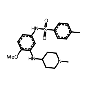 COc1ccc(NS(=O)(=O)c2ccc(C)cc2)cc1NC1CCN(C)CC1